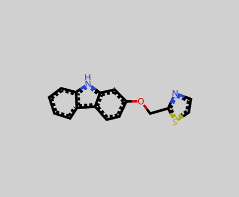 [c]1c(OCc2nccs2)ccc2c1[nH]c1ccccc12